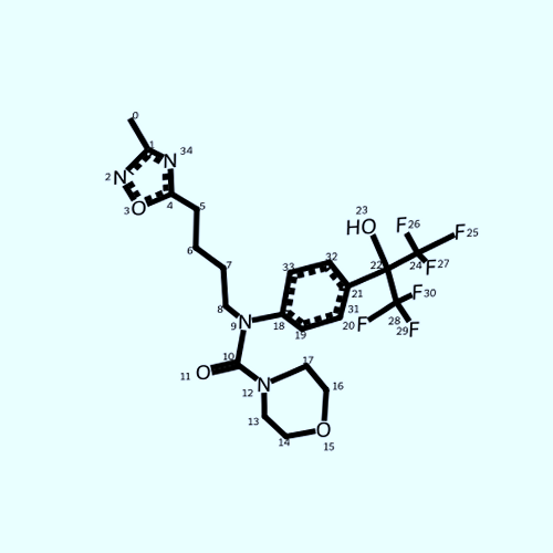 Cc1noc(CCCCN(C(=O)N2CCOCC2)c2ccc(C(O)(C(F)(F)F)C(F)(F)F)cc2)n1